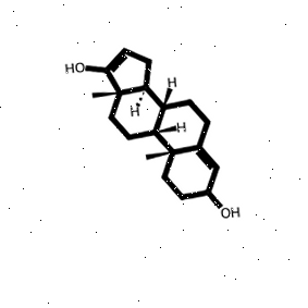 C[C@]12CCC(O)C=C1CC[C@@H]1[C@H]2CC[C@]2(C)C(O)=CC[C@@H]12